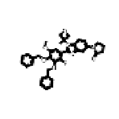 COc1cc(-c2nc3cc(N4CCCC4=O)ccc3n2C2(C)COC2)c(F)c(OCc2ccccc2)c1OCc1ccccc1